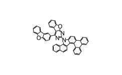 c1ccc2c(c1)ccc1c3c4c5ccccc5c5ccccc5c4ccc3n(-c3nc(-c4ccc5oc6ccccc6c5c4)c4c(n3)oc3ccccc34)c21